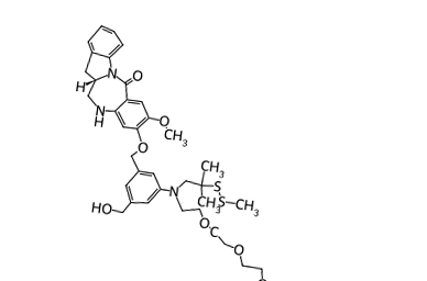 COCCOCCOCCN(CC(C)(C)SSC)c1cc(CO)cc(COc2cc3c(cc2OC)C(=O)N2c4ccccc4C[C@H]2CN3)c1